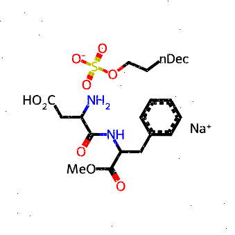 CCCCCCCCCCCCOS(=O)(=O)[O-].COC(=O)C(Cc1ccccc1)NC(=O)C(N)CC(=O)O.[Na+]